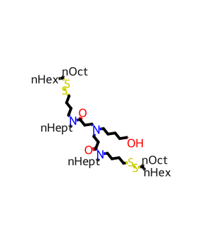 CCCCCCCCC(CCCCCC)SSCCCCN(CCCCCCC)C(=O)CCN(CCCCCO)CCC(=O)N(CCCCCCC)CCCCSSC(CCCCCC)CCCCCCCC